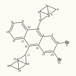 Brc1cc2c(C3C4C5CS534)c3ccccc3c(C3C4C5CS534)c2cc1Br